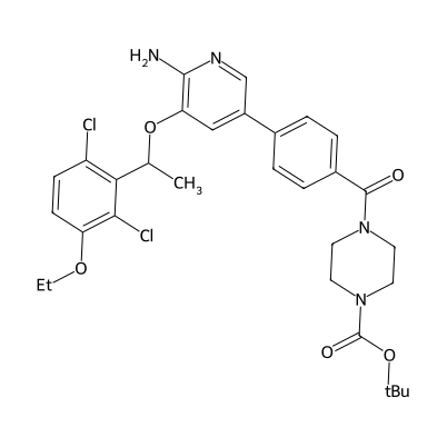 CCOc1ccc(Cl)c(C(C)Oc2cc(-c3ccc(C(=O)N4CCN(C(=O)OC(C)(C)C)CC4)cc3)cnc2N)c1Cl